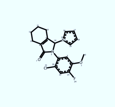 COc1cc(N2C(=O)C3=C(CCCC3)C2n2cccc2)c(Cl)cc1F